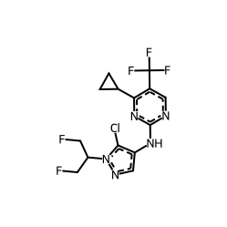 FCC(CF)n1ncc(Nc2ncc(C(F)(F)F)c(C3CC3)n2)c1Cl